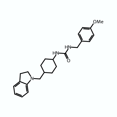 COc1ccc(CNC(=O)NC2CCC(CN3CCc4ccccc43)CC2)cc1